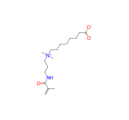 C=C(C)C(=O)NCCC[N+](C)(C)CCCCCCCC(=O)[O-]